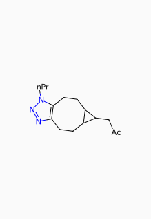 CCCn1nnc2c1CCC1C(CC2)C1CC(C)=O